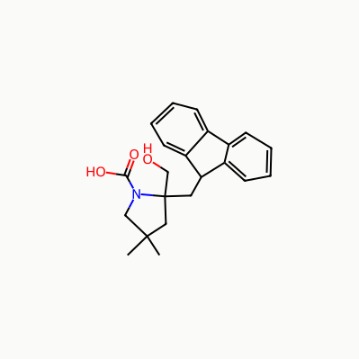 CC1(C)CN(C(=O)O)C(CO)(CC2c3ccccc3-c3ccccc32)C1